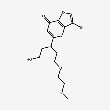 COCCOCCN(CCO)c1cc(=O)c2scc(Br)c2o1